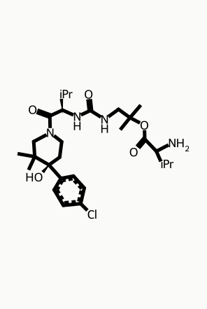 CC(C)C(N)C(=O)OC(C)(C)CNC(=O)N[C@@H](C(=O)N1CC[C@](O)(c2ccc(Cl)cc2)C(C)(C)C1)C(C)C